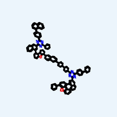 c1ccc(-c2ccc(-c3nc(-c4ccc(-c5ccc(-c6ccc7cc(-c8cccc9c8oc8cccc(-c%10cc(-c%11nc(-c%12ccccc%12)nc(-c%12ccc(-c%13cccc%14ccccc%13%14)cc%12)n%11)cc%11ccccc%10%11)c89)ccc7c6)cc5)cc4)nc(-c4cc(-c5ccc(-c6ccccc6)c6oc7ccccc7c56)c5ccccc5c4)n3)cc2)cc1